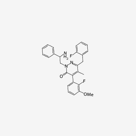 COc1cccc(-c2c(C)c(Cc3ccccc3F)nn(CC(N)c3ccccc3)c2=O)c1F